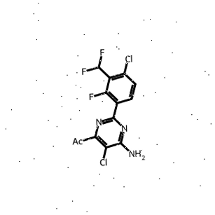 CC(=O)c1nc(-c2ccc(Cl)c(C(F)F)c2F)nc(N)c1Cl